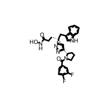 O=C(CC[C@H](Cc1c[nH]c2ccccc12)n1cc([C@@H]2CCCN2C(=O)c2ccc(F)c(F)c2)nn1)NO